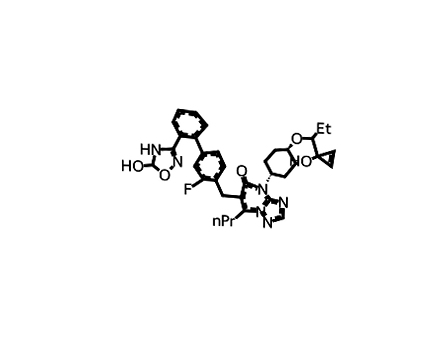 CCCc1c(Cc2ccc(-c3ccccc3C3=NOC(O)N3)cc2F)c(=O)n([C@H]2CC[C@H](OC(CC)C3(O)C=C3)CC2)c2ncnn12